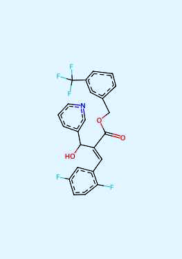 O=C(OCc1cccc(C(F)(F)F)c1)C(=Cc1cc(F)ccc1F)C(O)c1cccnc1